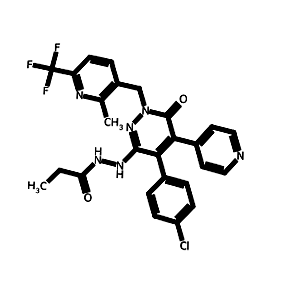 CCC(=O)NNc1nn(Cc2ccc(C(F)(F)F)nc2C)c(=O)c(-c2ccncc2)c1-c1ccc(Cl)cc1